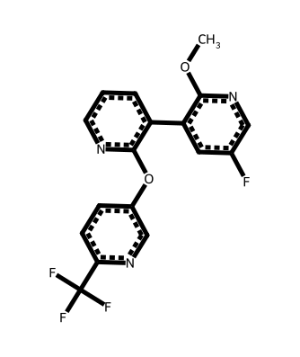 COc1ncc(F)cc1-c1cccnc1Oc1ccc(C(F)(F)F)nc1